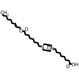 CCCCCCC=CCOC(=O)CCCCCCCN1CC2CN(CCCCCCCC(=O)O)CC(C1)O2